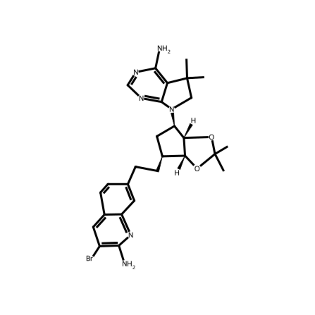 CC1(C)O[C@@H]2[C@@H](CCc3ccc4cc(Br)c(N)nc4c3)C[C@@H](N3CC(C)(C)c4c(N)ncnc43)[C@@H]2O1